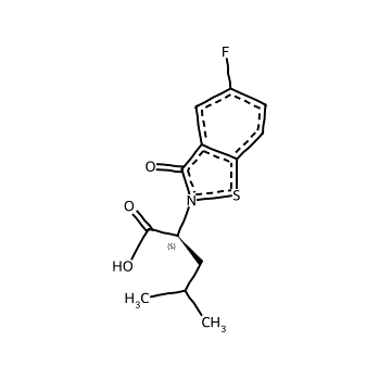 CC(C)C[C@@H](C(=O)O)n1sc2ccc(F)cc2c1=O